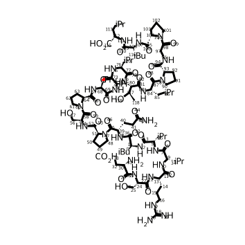 CC[C@H](C)[C@H](NC(=O)[C@@H](NC(=O)[C@@H](NC(=O)[C@H](CCCNC(=N)N)NC(=O)[C@H](CO)NC(=O)[C@@H](N)CC(=O)O)C(C)C)C(C)C)C(=O)N[C@@H](CCC(N)=O)C(=O)N1CCC[C@H]1C(=O)N[C@@H](CO)C(=O)N1CCC[C@H]1C(=O)N[C@H](C(=O)N[C@H](C(=O)N[C@H](C(=O)N[C@H](C(=O)N[C@@H](CC(C)C)C(=O)N1CCC[C@H]1C(=O)NCC(=O)N1CCC[C@H]1C(=O)N[C@H](C(=O)N[C@@H](CC(C)C)C(=O)O)[C@@H](C)CC)[C@@H](C)O)C(C)C)C(C)C)C(C)C